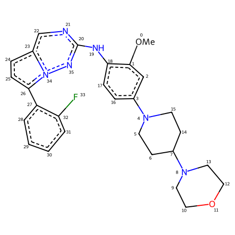 COc1cc(N2CCC(N3CCOCC3)CC2)ccc1Nc1ncc2ccc(-c3ccccc3F)n2n1